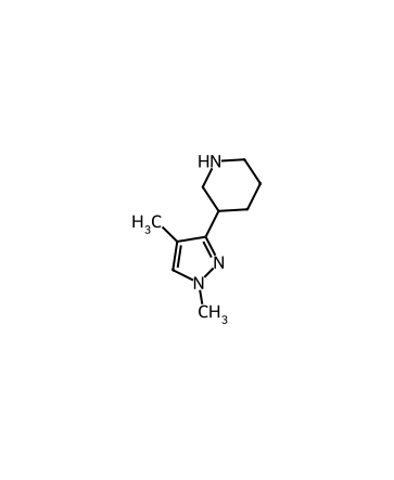 Cc1cn(C)nc1C1CCCNC1